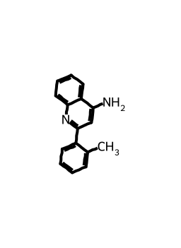 Cc1ccccc1-c1cc(N)c2ccccc2n1